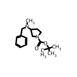 CN(Cc1ccccc1)C1CCN(C(=O)OC(C)(C)C)C1